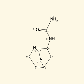 NC(=O)NC1CC2CCN1CC2